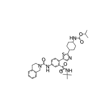 CC(C)OC(=O)NC1CCC(c2ncc(-c3ccc(NC(=O)N4CCc5ccccc5C4)cc3S(=O)(=O)NC(C)(C)C)s2)CC1